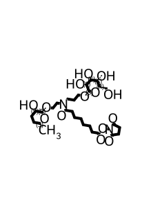 C[C@H]1CC[C@H](O)[C@H](OCCN(CCCO[C@H]2O[C@H](CO)[C@@H](O)[C@H](O)[C@@H]2O)C(=O)CCCCCCC(=O)ON2C(=O)CCC2=O)O1